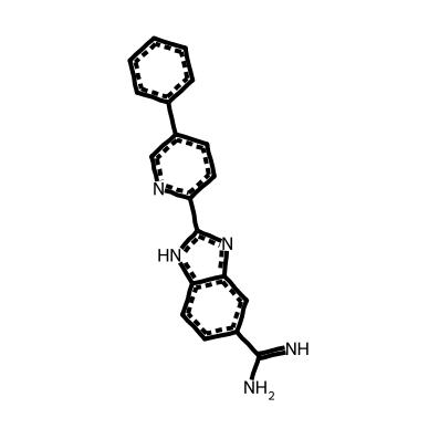 N=C(N)c1ccc2[nH]c(-c3ccc(-c4ccccc4)cn3)nc2c1